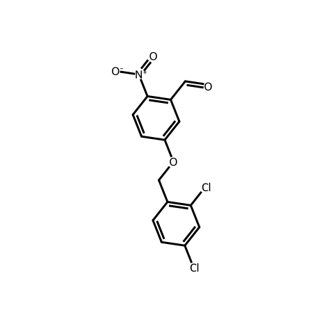 O=Cc1cc(OCc2ccc(Cl)cc2Cl)ccc1[N+](=O)[O-]